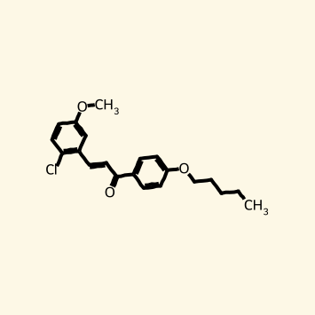 CCCCCOc1ccc(C(=O)C=Cc2cc(OC)ccc2Cl)cc1